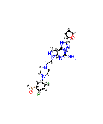 C[S@+]([O-])c1cc(N2CCN(CCn3ncc4c3nc(N)n3nc(-c5ccco5)nc43)CC2)c(F)cc1F